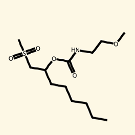 CCCCCCC(CS(C)(=O)=O)OC(=O)NCCOC